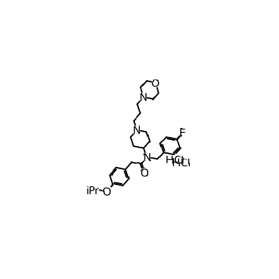 CC(C)Oc1ccc(CC(=O)N(Cc2ccc(F)cc2)C2CCN(CCCN3CCOCC3)CC2)cc1.Cl.Cl